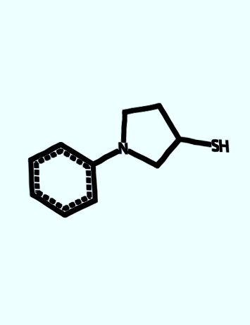 SC1CCN(c2ccccc2)C1